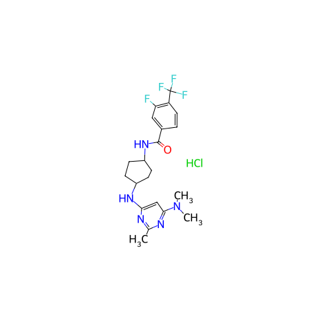 Cc1nc(NC2CCC(NC(=O)c3ccc(C(F)(F)F)c(F)c3)CC2)cc(N(C)C)n1.Cl